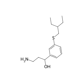 CCC(CC)CSc1cccc(C(O)CCN)c1